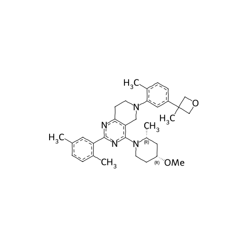 CO[C@@H]1CCN(c2nc(-c3cc(C)ccc3C)nc3c2CN(c2cc(C4(C)COC4)ccc2C)CC3)[C@H](C)C1